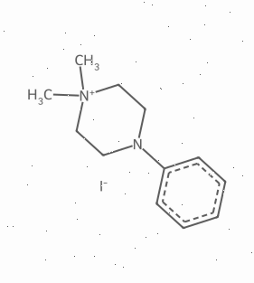 C[N+]1(C)CCN(c2ccccc2)CC1.[I-]